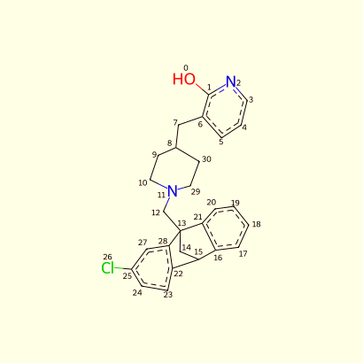 Oc1ncccc1CC1CCN(CC23CC(c4ccccc42)c2ccc(Cl)cc23)CC1